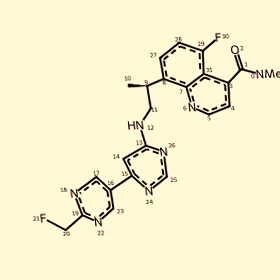 CNC(=O)c1ccnc2c([C@H](C)CNc3cc(-c4cnc(CF)nc4)ncn3)ccc(F)c12